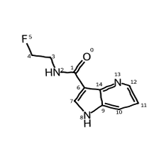 O=C(NCCF)c1c[nH]c2cccnc12